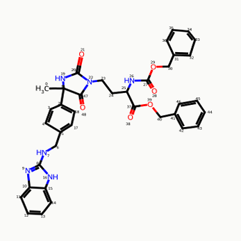 CC1(c2ccc(CNc3nc4ccccc4[nH]3)cc2)NC(=O)N(CCC(NC(=O)OCc2ccccc2)C(=O)OCc2ccccc2)C1=O